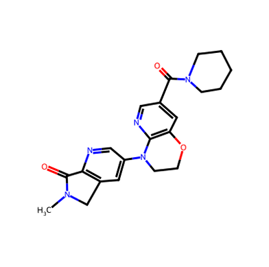 CN1Cc2cc(N3CCOc4cc(C(=O)N5CCCCC5)cnc43)cnc2C1=O